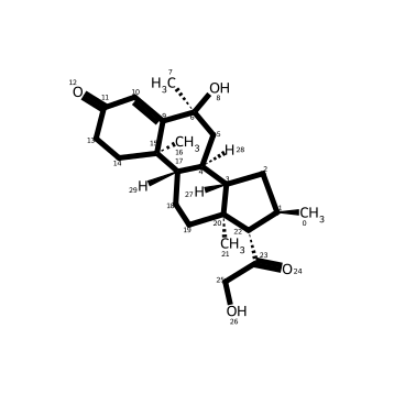 C[C@@H]1C[C@H]2[C@@H]3C[C@](C)(O)C4=CC(=O)CC[C@]4(C)[C@H]3CC[C@]2(C)[C@H]1C(=O)CO